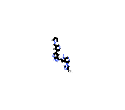 Cc1cn(-c2cncc3[nH]c(-c4n[nH]c5ncc(-c6cncc(CN7CCCC7)c6)cc45)cc23)cn1